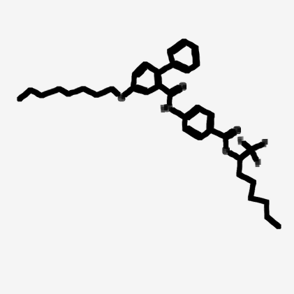 CCCCCCCCOc1ccc(-c2ccccc2)c(C(=O)Nc2ccc(C(=O)OC(CCCCCC)C(F)(F)F)cc2)c1